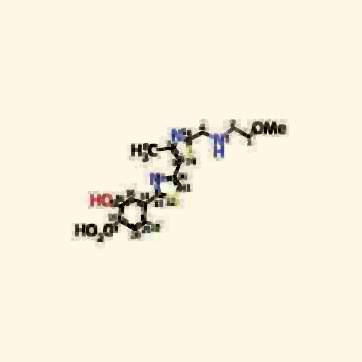 COCCNCc1nc(C)c(-c2csc(-c3cc(O)c(C(=O)O)cc3F)n2)s1